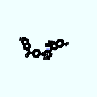 N=N/C(=C\Nc1ccc(C(=O)N2CC3CNCC3C2)cc1)c1cc2cc(F)ccc2[nH]c1=O